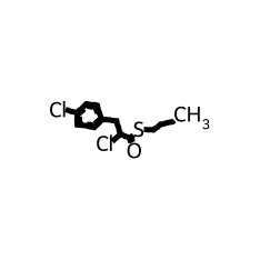 CCCCSC(=O)C(Cl)Cc1ccc(Cl)cc1